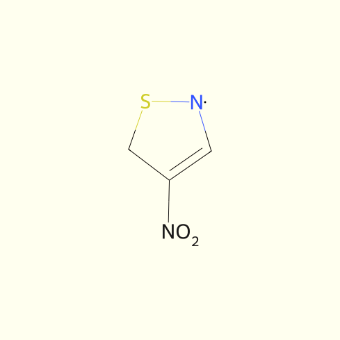 O=[N+]([O-])C1=C[N]SC1